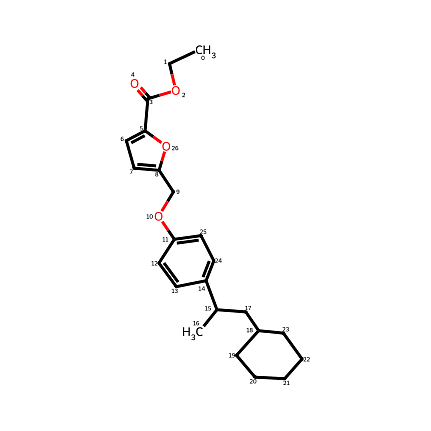 CCOC(=O)c1ccc(COc2ccc(C(C)CC3CCCCC3)cc2)o1